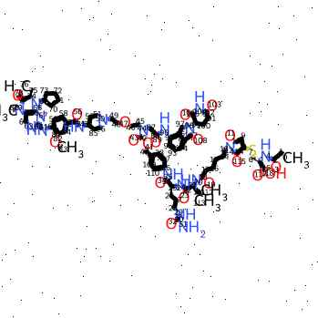 CCC(=O)N[C@@H](CSC1CC(=O)N(CCCCCC(=O)N[C@H](C(=O)N[C@@H](CCCNC(N)=O)C(=O)Nc2ccc(COC(=O)N(CCOCCN3CCC(NC(=O)c4ccc(Nc5ncc6c(n5)N(C5CCCC5)[C@H](CC)C(=O)N6C)c(OC)c4)CC3)CC(=O)Nc3cccc4c3CN(C3CCC(=O)NC3=O)C4=O)cc2)C(C)C)C1=O)C(=O)O